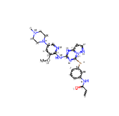 C=CC(=O)Nc1cccc(Sc2nc(Nc3ncc(N4CCN(C)CC4)cc3OC)nc3ccnn23)c1